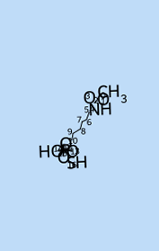 COC(=O)NCCCCCCOP(=O)(O)OS